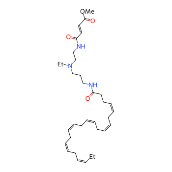 CC/C=C\C/C=C\C/C=C\C/C=C\C/C=C\C/C=C\CCC(=O)NCCCN(CC)CCNC(=O)C=CC(=O)OC